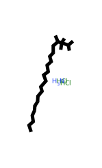 CCCCCCCCCCCCCCCCCCC(C)C(C)(C)C(C)C.Cl.Cl.N